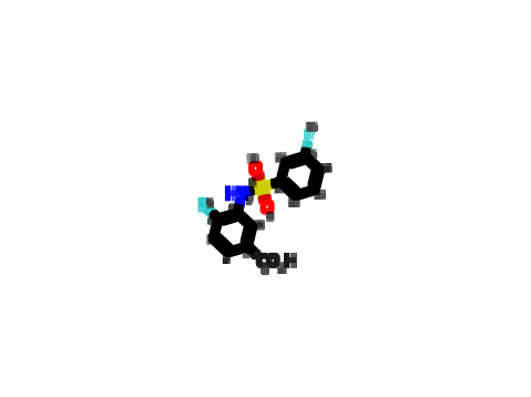 O=C(O)c1ccc(F)c(NS(=O)(=O)c2cccc(F)c2)c1